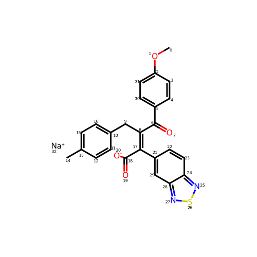 COc1ccc(C(=O)/C(Cc2ccc(C)cc2)=C(/C(=O)[O-])c2ccc3nsnc3c2)cc1.[Na+]